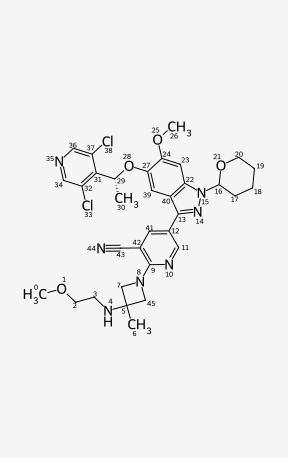 COCCNC1(C)CN(c2ncc(-c3nn(C4CCCCO4)c4cc(OC)c(O[C@H](C)c5c(Cl)cncc5Cl)cc34)cc2C#N)C1